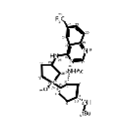 CC(=O)N[C@@H]1C[C@H](NC(C)(C)C)CC[C@@H]1[N@+]1([O-])CCC(Nc2ncnc3ccc(C(F)(F)F)cc23)C1